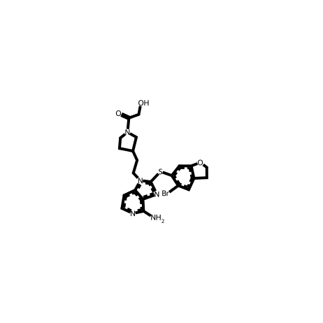 Nc1nccc2c1nc(Sc1cc3c(cc1Br)CCO3)n2CCC1CCN(C(=O)CO)C1